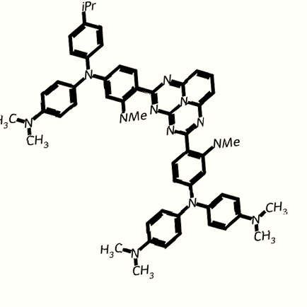 CNc1cc(N(c2ccc(N(C)C)cc2)c2ccc(N(C)C)cc2)ccc1C1=NC2=CC=CC3=NC(c4ccc(N(c5ccc(C(C)C)cc5)c5ccc(N(C)C)cc5)cc4NC)=NC(=N1)N23